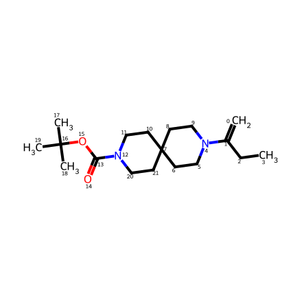 C=C(CC)N1CCC2(CC1)CCN(C(=O)OC(C)(C)C)CC2